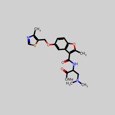 COC(=O)C(CN(C)C)NC(=O)c1c(C)oc2ccc(OCc3scnc3C)cc12